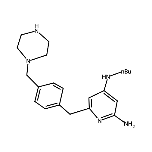 CCCCNc1cc(N)nc(Cc2ccc(CN3CCNCC3)cc2)c1